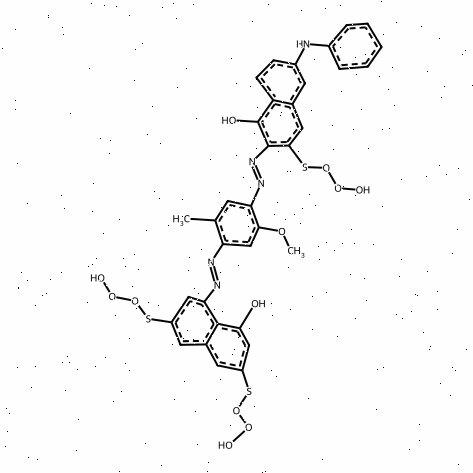 COc1cc(N=Nc2cc(SOOO)cc3cc(SOOO)cc(O)c23)c(C)cc1N=Nc1c(SOOO)cc2cc(Nc3ccccc3)ccc2c1O